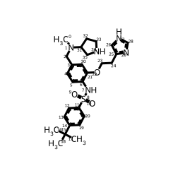 CN(Cc1ccc(NS(=O)(=O)c2ccc(C(C)(C)C)cc2)c(OCCc2c[nH]cn2)c1)C1CCNC1